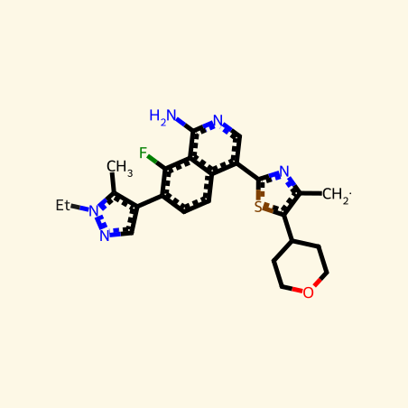 [CH2]c1nc(-c2cnc(N)c3c(F)c(-c4cnn(CC)c4C)ccc23)sc1C1CCOCC1